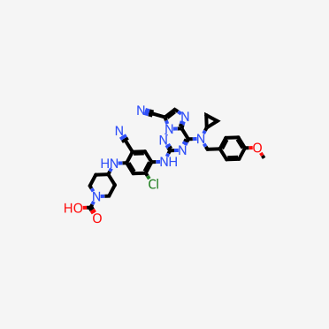 COc1ccc(CN(c2nc(Nc3cc(C#N)c(NC4CCN(C(=O)O)CC4)cc3Cl)nn3c(C#N)cnc23)C2CC2)cc1